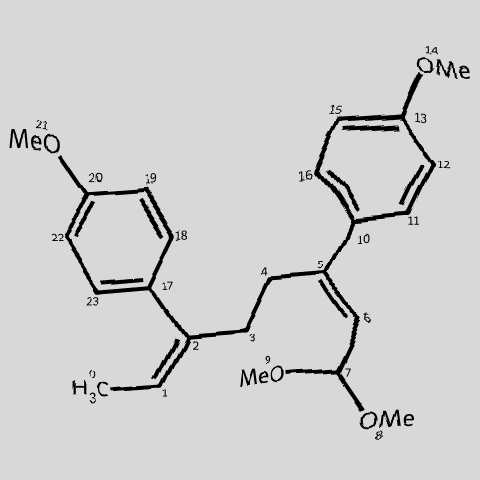 CC=C(CCC(=CC(OC)OC)c1ccc(OC)cc1)c1ccc(OC)cc1